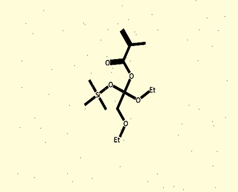 C=C(C)C(=O)OC(COCC)(OCC)O[Si](C)(C)C